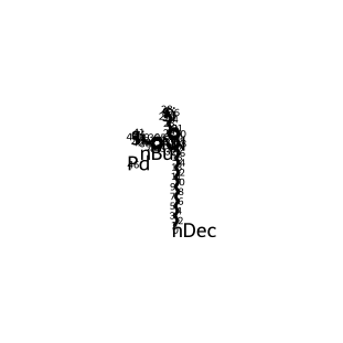 CCCCCCCCCCCCCCCCCCCCCCCCCCC(=Nc1ccc(CC[Si](C)(C)C)cc1)C(CCCC)=Nc1ccc(CC[Si](C)(C)C)cc1.[Pd]